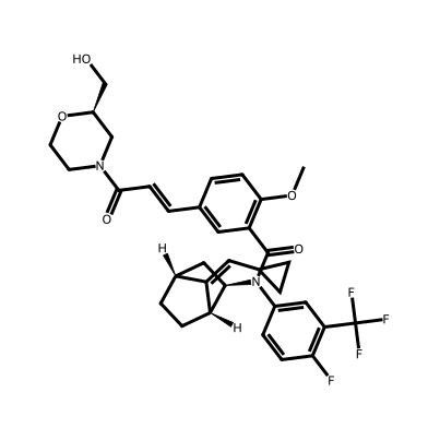 COc1ccc(/C=C/C(=O)N2CCO[C@@H](CO)C2)cc1C(=O)N(c1ccc(F)c(C(F)(F)F)c1)[C@@H]1C[C@H]2CC[C@@H]1/C2=C\C1CC1